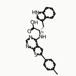 Cc1ccc(-c2cc3c(N[C@@H](Cc4c[nH]c5ccccc45)C(=O)O)ncnc3s2)cc1